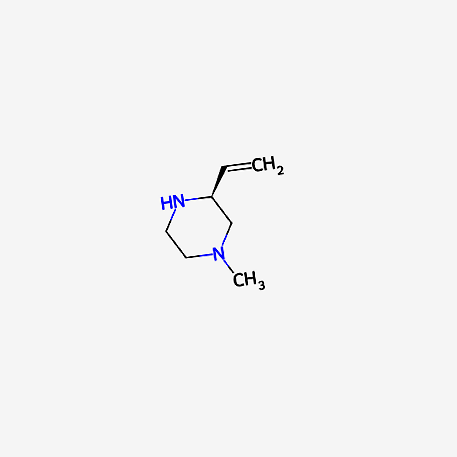 C=C[C@H]1CN(C)CCN1